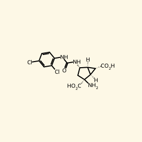 N[C@@]1(C(=O)O)C[C@H](NC(=O)Nc2ccc(Cl)cc2Cl)[C@H]2[C@H](C(=O)O)[C@H]21